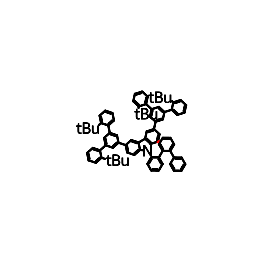 CC(C)(C)c1ccccc1-c1cc(-c2ccc3c(c2)c2cc(-c4cc(-c5ccccc5C(C)(C)C)cc(-c5ccccc5C(C)(C)C)c4)ccc2n3-c2ccccc2-c2ccccc2-c2ccccc2)cc(-c2ccccc2C(C)(C)C)c1